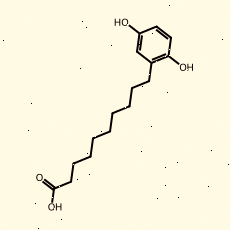 O=C(O)CCCCCCCCCc1cc(O)ccc1O